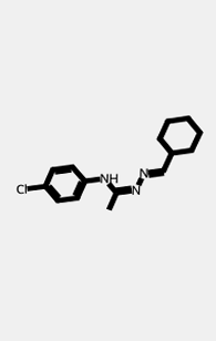 C/C(=N/N=C/C1CCCCC1)Nc1ccc(Cl)cc1